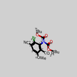 COc1cc(C#N)c(Br)c(N(C(=O)OC(C)(C)C)C(=O)OC(C)(C)C)c1C(=O)O